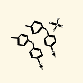 Cc1ccc(Oc2ccc([N+]#N)cc2)cc1.Cc1ccc(Oc2ccc([N+]#N)cc2)cc1.O=S(=O)([O-])[O-]